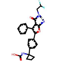 O=C(O)NC1(c2ccc(-c3oc4ncn(CC(F)F)c(=O)c4c3-c3ccccc3)cc2)CCC1